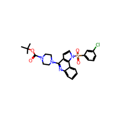 CC(C)(C)OC(=O)N1CCN(c2nc3ccccc3c3c2ccn3S(=O)(=O)c2cccc(Cl)c2)CC1